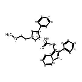 COCCN1C[C@@H](NC(=O)Nc2c(-c3ccccc3)nn3ccccc23)[C@H](c2ccccc2)C1